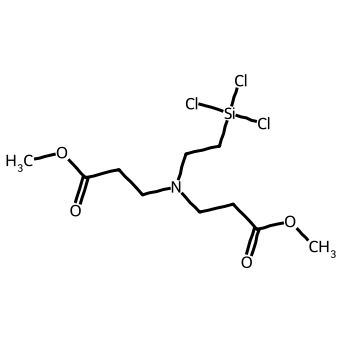 COC(=O)CCN(CCC(=O)OC)CC[Si](Cl)(Cl)Cl